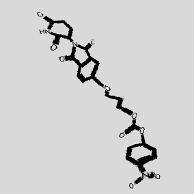 O=C1CCC(N2C(=O)c3ccc(OCCCOC(=O)Oc4ccc([N+](=O)[O-])cc4)cc3C2=O)C(=O)N1